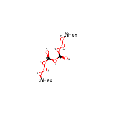 CCCCCCOOOC(=O)OC(=O)OOOCCCCCC